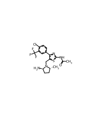 CC(=O)Nc1nc(-c2ccc(Cl)c(C(F)(F)F)c2)c(CN2[C@H](C)CC[C@H]2N)s1